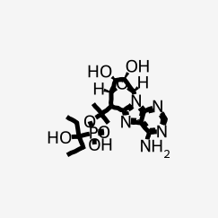 CCC(O)(CC)P(=O)(O)OC(C)(C)C1c2nc3c(N)ncnc3n2[C@@H]2O[C@H]1[C@@H](O)[C@H]2O